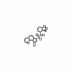 O=S(=O)(Nc1cccc2nonc12)c1c[nH]c2c1ccc1cccnc12